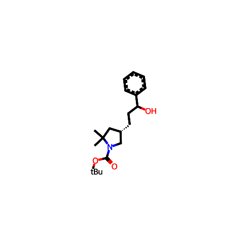 CC(C)(C)OC(=O)N1C[C@@H](CCC(O)c2ccccc2)CC1(C)C